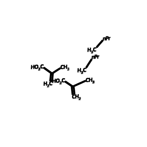 C=C(C)C(=O)O.C=C(C)C(=O)O.CCCC.CCCC